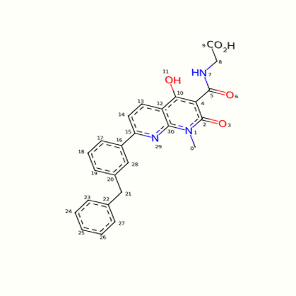 Cn1c(=O)c(C(=O)NCC(=O)O)c(O)c2ccc(-c3cccc(Cc4ccccc4)c3)nc21